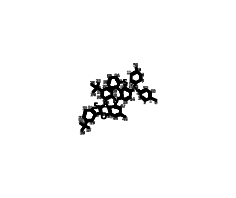 Cc1ccc(N(c2ccc(C)cc2)c2ccc(N3c4ccc(C(C)(C)C)cc4B4c5sc6ccc(C(C)(C)C)cc6c5Oc5cc(C)cc3c54)c3c2sc2ccccc23)cc1